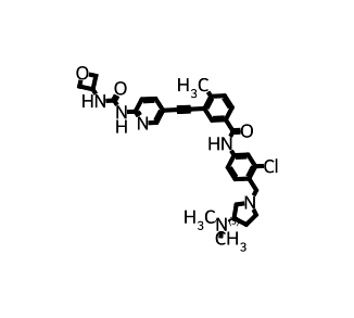 Cc1ccc(C(=O)Nc2ccc(CN3CC[C@H](N(C)C)C3)c(Cl)c2)cc1C#Cc1ccc(NC(=O)NC2COC2)nc1